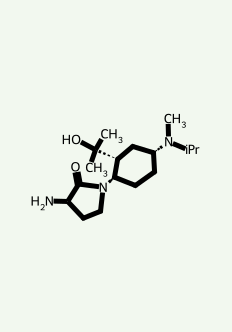 CC(C)N(C)[C@@H]1CC[C@H](N2CCC(N)C2=O)[C@H](C(C)(C)O)C1